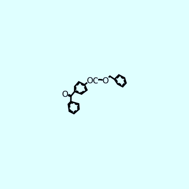 O=C(c1ccccc1)c1ccc(OCCOCc2ccccc2)cc1